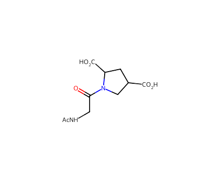 CC(=O)NCC(=O)N1CC(C(=O)O)CC1C(=O)O